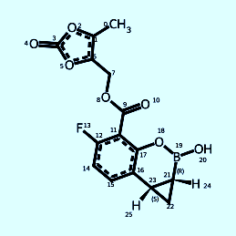 Cc1oc(=O)oc1COC(=O)c1c(F)ccc2c1OB(O)[C@@H]1C[C@H]21